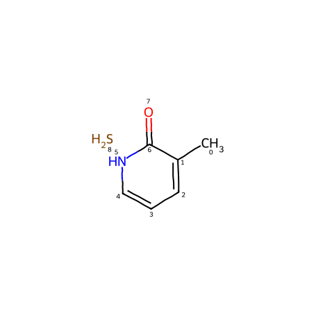 Cc1ccc[nH]c1=O.S